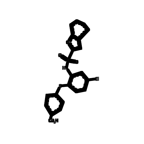 O=C(O)c1ccc(Sc2ccc(Cl)cc2NS(=O)(=O)c2cc3ccccc3o2)cc1